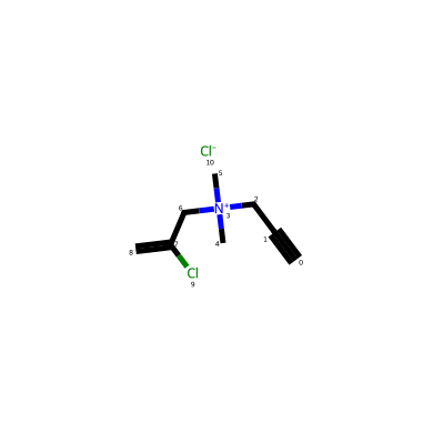 C#CC[N+](C)(C)CC(=C)Cl.[Cl-]